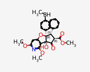 CBc1ccc([C@@]23Oc4cc(OC)nc(OC)c4[C@]2(O)C(=O)[C@H](C(=O)OC)[C@H]3c2ccccc2)cc1